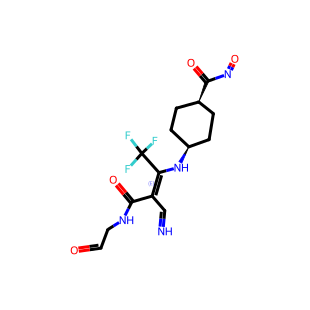 N=C/C(C(=O)NCC=O)=C(\N[C@H]1CC[C@@H](C(=O)N=O)CC1)C(F)(F)F